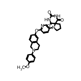 COc1ccc(N2CCc3cc(Oc4ccc(N5CCCC56C(=O)NC(=O)NC6=O)cn4)ccc3C2)cc1